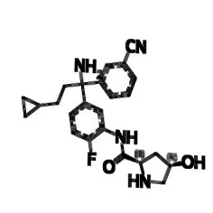 N#Cc1cccc(C(N)(CCC2CC2)c2ccc(F)c(NC(=O)[C@H]3C[C@@H](O)CN3)c2)c1